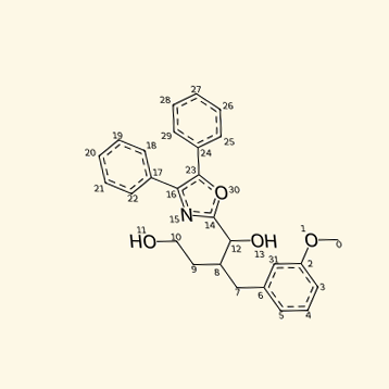 COc1cccc(CC(CCO)C(O)c2nc(-c3ccccc3)c(-c3ccccc3)o2)c1